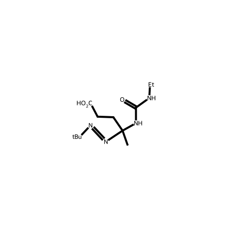 CCNC(=O)NC(C)(CCC(=O)O)/N=N/C(C)(C)C